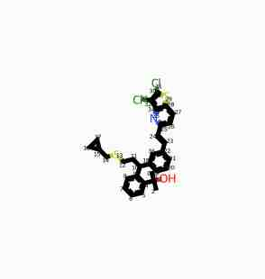 CC(C)(O)c1ccccc1C(CCSCC1CC1)c1cccc(/C=C/c2ccc3sc(Cl)c(Cl)c3n2)c1